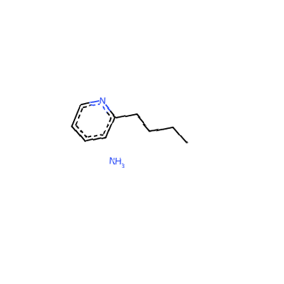 CCCCc1ccccn1.N